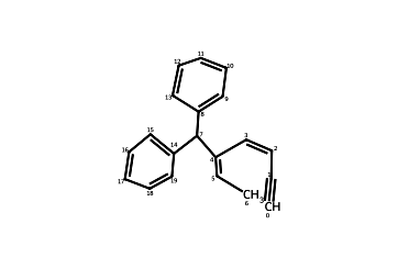 C#C/C=C\C(=C/C)C(c1ccccc1)c1ccccc1